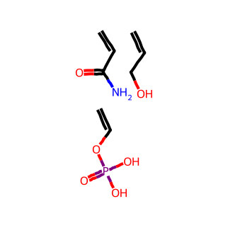 C=CC(N)=O.C=CCO.C=COP(=O)(O)O